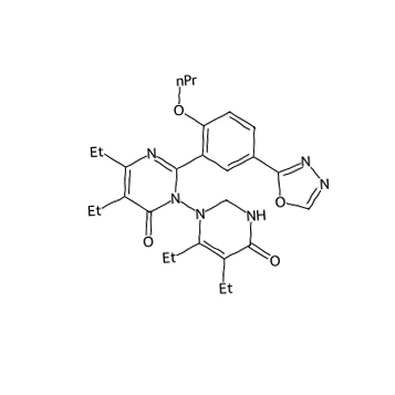 CCCOc1ccc(-c2nnco2)cc1-c1nc(CC)c(CC)c(=O)n1N1CNC(=O)C(CC)=C1CC